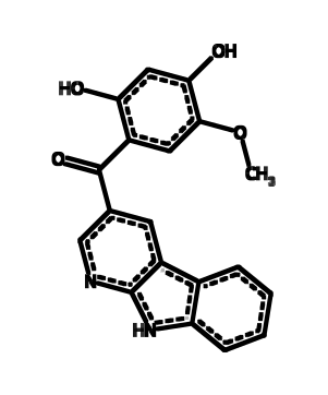 COc1cc(C(=O)c2cnc3[nH]c4ccccc4c3c2)c(O)cc1O